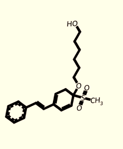 CS(=O)(=O)C1(OCCCCCCO)C=CC(C=Cc2ccccc2)=CC1